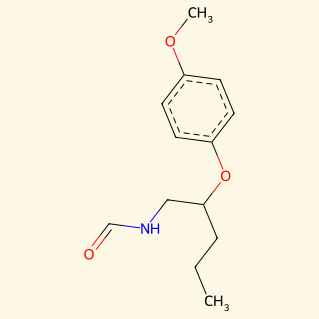 CCCC(CNC=O)Oc1ccc(OC)cc1